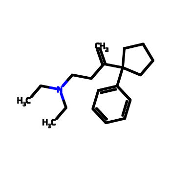 C=C(CCN(CC)CC)C1(c2ccccc2)CCCC1